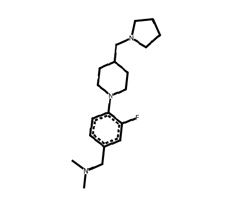 CN(C)Cc1ccc(N2CCC(CN3CCCC3)CC2)c(F)c1